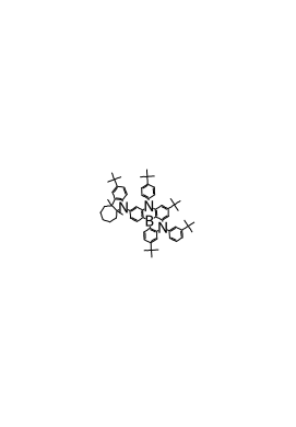 CC(C)(C)c1ccc(N2c3cc(N4c5ccc(C(C)(C)C)cc5C5(C)CCCCCC45C)ccc3B3c4ccc(C(C)(C)C)cc4N(c4cccc(C(C)(C)C)c4)c4cc(C(C)(C)C)cc2c43)cc1